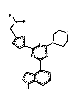 CCN(CC)Cc1ccc(-c2nc(-c3cccc4[nH]ncc34)nc(N3CCOCC3)n2)s1